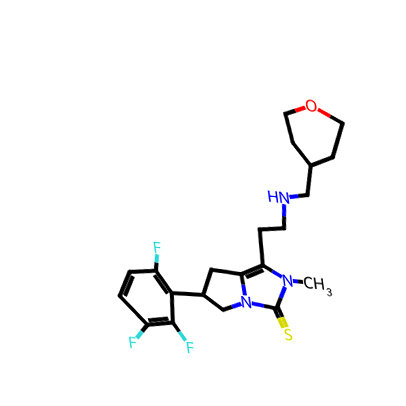 Cn1c(CCNCC2CCOCC2)c2n(c1=S)CC(c1c(F)ccc(F)c1F)C2